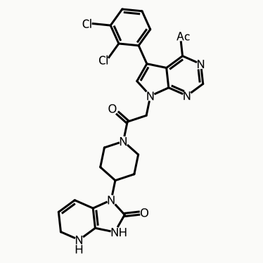 CC(=O)c1ncnc2c1c(-c1cccc(Cl)c1Cl)cn2CC(=O)N1CCC(n2c3c([nH]c2=O)NCC=C3)CC1